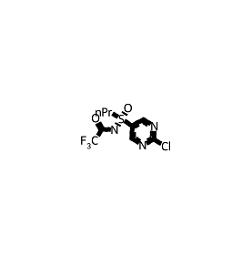 CCCS(=O)(=NC(=O)C(F)(F)F)c1cnc(Cl)nc1